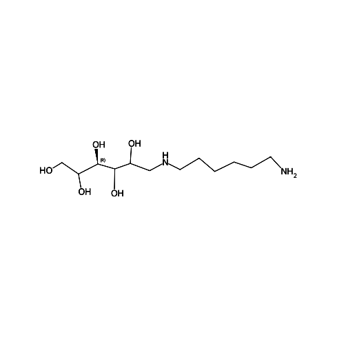 NCCCCCCNCC(O)C(O)[C@H](O)C(O)CO